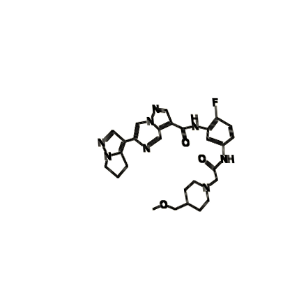 COCC1CCN(CC(=O)Nc2ccc(F)c(NC(=O)c3cnn4cc(-c5cnn6c5CCC6)ncc34)c2)CC1